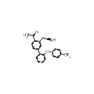 C#CCc1cc(-c2ccccc2Oc2ccc(C(F)(F)F)cc2)ccc1C(N)=O